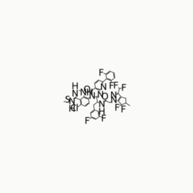 CNc1c(-n2c(C(Cc3cc(F)cc(F)c3)NC(=O)Cn3nc(C(F)F)c4c3C(F)(F)C(C)C4)nc3nc(-c4c(F)cccc4F)ccc3c2=O)ccc(Cl)c1C(=N)NSC